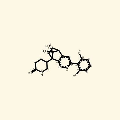 CC1(C)C2CCC1(C1CCC(=O)NC1)c1nnc(-c3c(F)cccc3F)cc12